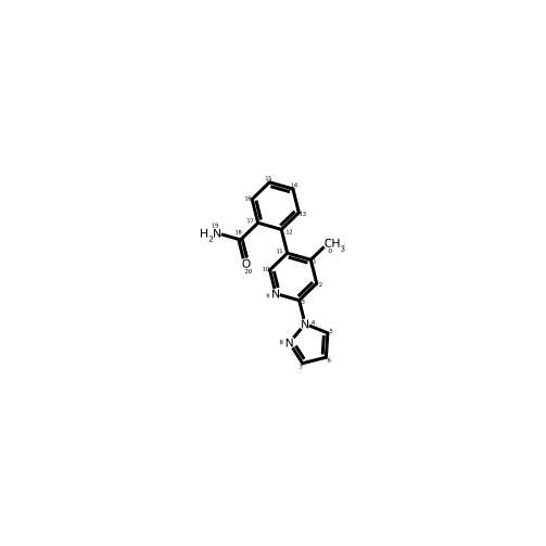 Cc1cc(-n2cccn2)ncc1-c1ccccc1C(N)=O